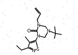 C=CCN1CN(C(C)(C)C)CN(c2snc(CC)c2C)C1=O